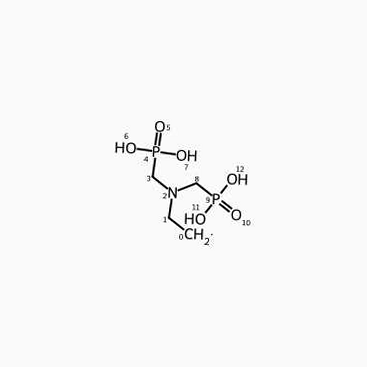 [CH2]CN(CP(=O)(O)O)CP(=O)(O)O